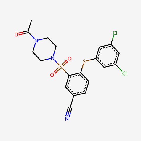 CC(=O)N1CCN(S(=O)(=O)c2cc(C#N)ccc2Sc2cc(Cl)cc(Cl)c2)CC1